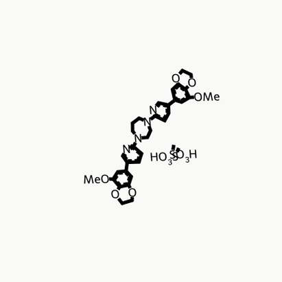 COc1cc(-c2ccc(N3CCCN(c4ccc(-c5cc(OC)c6c(c5)OCCO6)cn4)CC3)nc2)cc2c1OCCO2.CS(=O)(=O)O.CS(=O)(=O)O